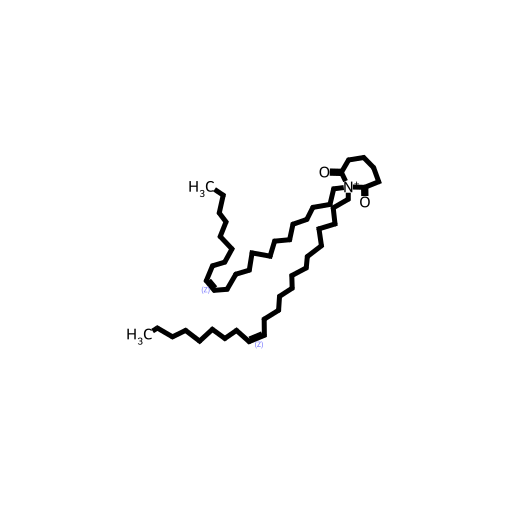 CCCCCCCC/C=C\CCCCCCCCCCCC[N+]1(CCCCCCCCCCCC/C=C\CCCCCCCC)C(=O)CCCCC1=O